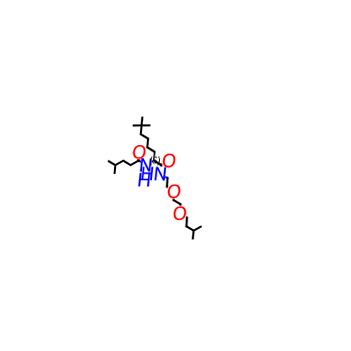 CC(C)CCOCCOCCNC(=O)[C@H](CCCCC(C)(C)C)NC(=O)CCC(C)C